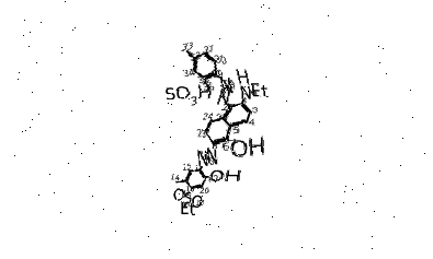 CCNc1ccc2c(O)c(/N=N/c3cc(C)c(S(=O)(=O)CC)cc3O)ccc2c1/N=N/c1ccc(C)cc1S(=O)(=O)O